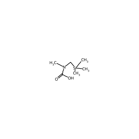 CN(C[Si](C)(C)C)C(=O)O